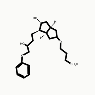 O=C(O)CCCOC1C[C@@H]2C[C@@H](O)[C@H](CCC(O)COc3ccccc3)[C@@H]2C1